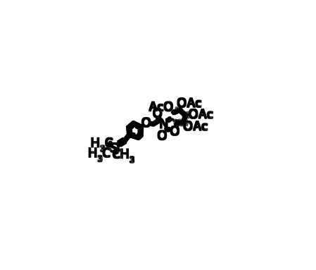 CC(=O)OC[C@H](OC(C)=O)[C@H](OC(C)=O)[C@@H](OC(C)=O)[C@H]1CN(C(=O)COc2ccc(C#C[Si](C)(C)C)cc2)C(=O)O1